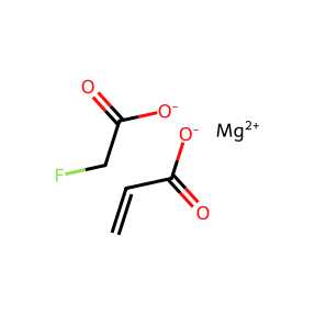 C=CC(=O)[O-].O=C([O-])CF.[Mg+2]